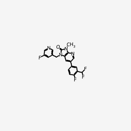 Cn1c(=O)n(Cc2cncc(F)c2)c2cc(-c3ccc(F)c(C(F)F)c3)cnc21